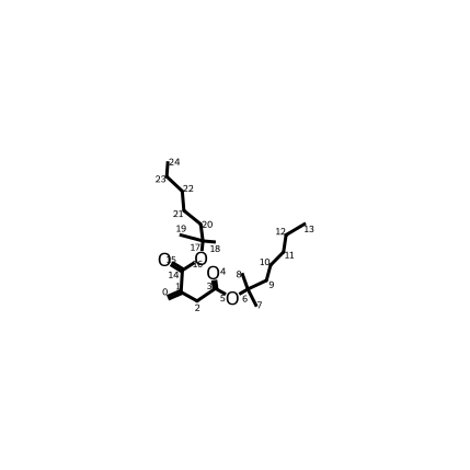 C=C(CC(=O)OC(C)(C)CCCCC)C(=O)OC(C)(C)CCCCC